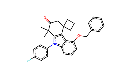 CC1(C)C(=O)CC2(CCC2)c2c1n(-c1ccc(F)cc1)c1cccc(OCc3ccccc3)c21